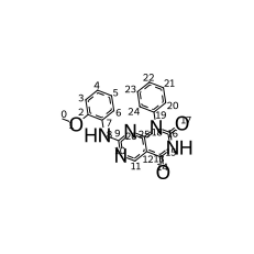 COc1ccccc1Nc1ncc2c(=O)[nH]c(=O)n(-c3ccccc3)c2n1